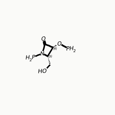 O=C1[C@H](OP)[C@H](CO)N1P